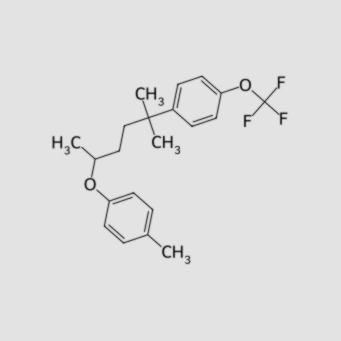 Cc1ccc(OC(C)CCC(C)(C)c2ccc(OC(F)(F)F)cc2)cc1